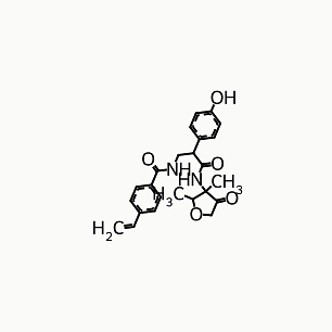 C=Cc1ccc(C(=O)NCC(C(=O)NC2(C)C(=O)COC2C)c2ccc(O)cc2)cc1